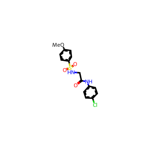 COc1ccc(S(=O)(=O)NCC(=O)Nc2ccc(Cl)cc2)cc1